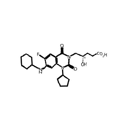 O=C(O)CC[C@H](O)Cn1c(=O)c2cc(F)c(NC3CCCCC3)cc2n(C2CCCC2)c1=O